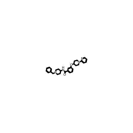 O=C(NC1CCN(Cc2ccccc2)CC1)c1cccc(OC2CCN(c3ccccn3)CC2)c1